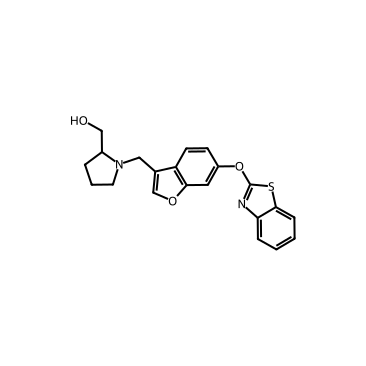 OCC1CCCN1Cc1coc2cc(Oc3nc4ccccc4s3)ccc12